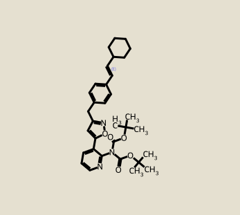 CC(C)(C)OC(=O)N(C(=O)OC(C)(C)C)c1ncccc1-c1cc(Cc2ccc(/C=C/C3CCCCC3)cc2)no1